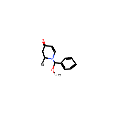 CCC1CC(=O)C=CN1C(OC=O)c1ccccc1